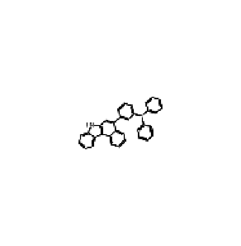 c1ccc(N(c2ccccc2)c2cccc(-c3cc4[nH]c5ccccc5c4c4ccccc34)c2)cc1